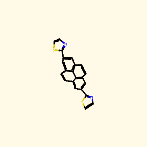 c1csc(-c2cc3ccc4cc(-c5nccs5)cc5ccc(c2)c3c45)n1